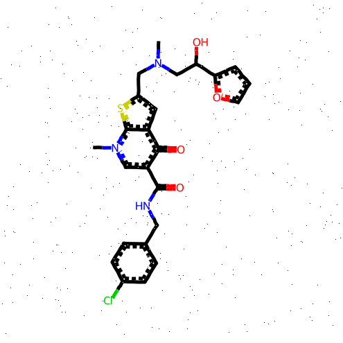 CN(Cc1cc2c(=O)c(C(=O)NCc3ccc(Cl)cc3)cn(C)c2s1)CC(O)c1ccco1